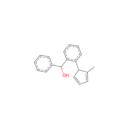 CC1=CC=CC1c1ccccc1C(O)c1ccccc1